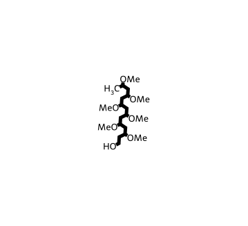 COC(C)CC(CC(CC(CC(CC(CCO)OC)OC)OC)OC)OC